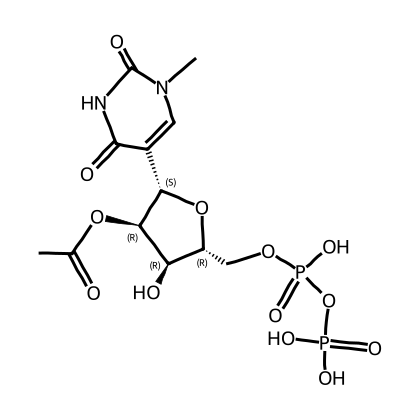 CC(=O)O[C@@H]1[C@H](O)[C@@H](COP(=O)(O)OP(=O)(O)O)O[C@H]1c1cn(C)c(=O)[nH]c1=O